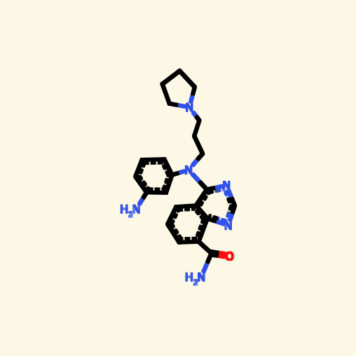 NC(=O)c1cccc2c(N(CCCN3CCCC3)c3cccc(N)c3)ncnc12